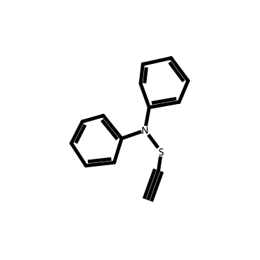 C#CSN(c1ccccc1)c1ccccc1